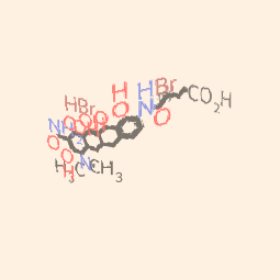 Br.CN(C)C1C(O)=C(C(N)=O)C(=O)C2(O)C(O)=C3C(=O)c4c(ccc(NC(=O)[C@@H](Br)CCC(=O)O)c4O)CC3CC12